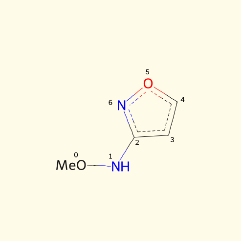 CONc1ccon1